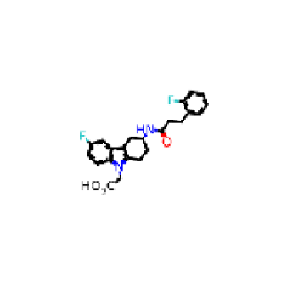 O=C(O)Cn1c2c(c3cc(F)ccc31)C[C@@H](NC(=O)CCc1ccccc1F)CC2